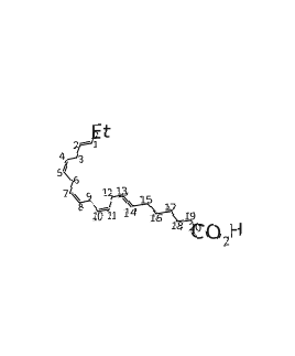 CC/C=C/C/C=C\C/C=C\C/C=C\C/C=C/CCCCCC(=O)O